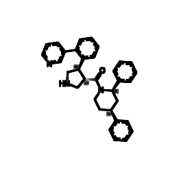 O=C([C@@H]1CNC[C@H]1c1ccccc1-c1cccnc1)N1CC[C@H](c2ccccc2)C[C@@H]1c1ccccc1